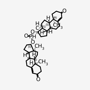 C[C@]12CC[C@H]3[C@@H](CCC4=CC(=O)CC[C@@]43C)[C@@H]1CC[C@@H]2O[PH](=O)O[C@H]1CC[C@H]2[C@@H]3CCC4=CC(=O)CC[C@]4(C)[C@H]3CC[C@]12C